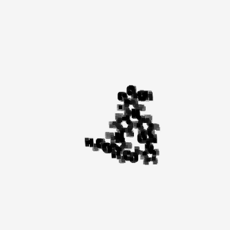 COCC1CCCN1c1nc2ccc(-n3cc(C(=O)O)c(=O)cc3-c3ccc(N4CCC(OC)C4)cc3)cc2o1